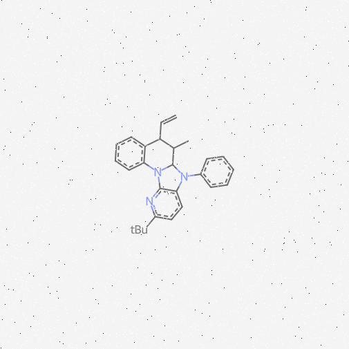 C=CC1c2ccccc2N2c3nc(C(C)(C)C)ccc3N(c3ccccc3)C2C1C